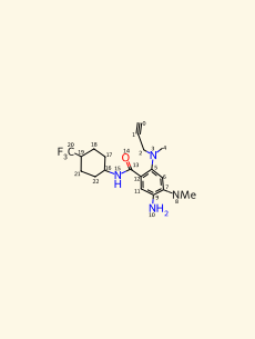 C#CCN(C)c1cc(NC)c(N)cc1C(=O)NC1CCC(C(F)(F)F)CC1